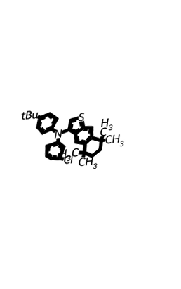 CC(C)(C)c1ccc(N(c2cccc(Cl)c2)c2csc3cc4c(cc23)C(C)(C)CCC4(C)C)cc1